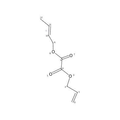 C=CCOC(=O)C(=O)OC/C=C/C